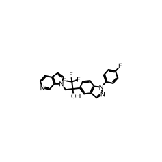 OC(Cn1ccc2ccncc21)(c1ccc2c(cnn2-c2ccc(F)cc2)c1)C(F)(F)F